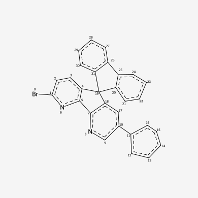 Brc1ccc2c(n1)-c1ncc(-c3ccccc3)cc1C21c2ccccc2-c2ccccc21